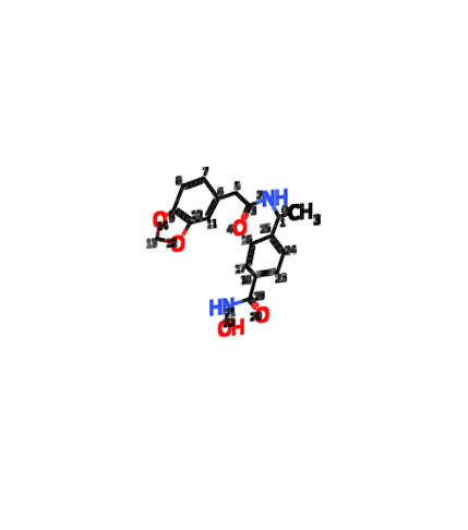 CC(NC(=O)Cc1ccc2c(c1)OCO2)c1ccc(C(=O)NO)cc1